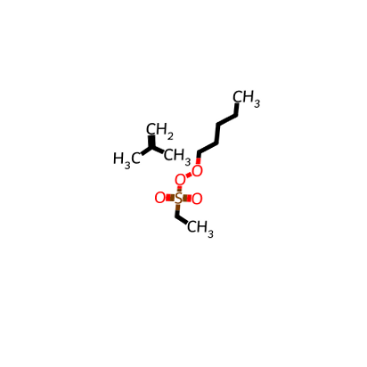 C=C(C)C.CCCCCOOS(=O)(=O)CC